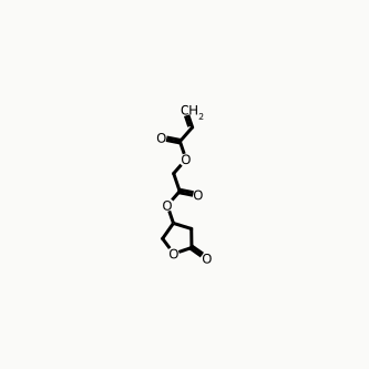 C=CC(=O)OCC(=O)OC1COC(=O)C1